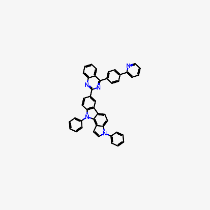 c1ccc(-n2ccc3c2ccc2c4cc(-c5nc(-c6ccc(-c7ccccn7)cc6)c6ccccc6n5)ccc4n(-c4ccccc4)c23)cc1